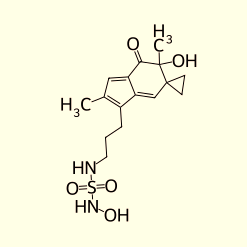 CC1=C(CCCNS(=O)(=O)NO)C2=CC3(CC3)C(C)(O)C(=O)C2=C1